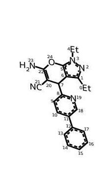 CCc1nn(CC)c2c1C(c1ccc(-c3ccccc3)cn1)C(C#N)=C(N)O2